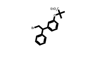 CCOC(=O)C(C)(C)Oc1cccc(C(CBr)c2ccccc2)c1